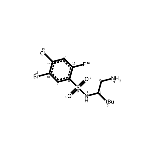 CC(C)(C)C(CN)NS(=O)(=O)c1cc(Br)c(Cl)cc1F